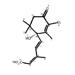 CCC1=C(C)[C@@](O)(/C=C/C(C)=C\C(=O)O)C(C)(C)CC1=O